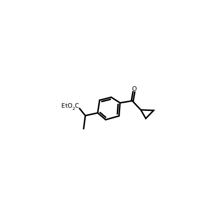 CCOC(=O)C(C)c1ccc(C(=O)C2CC2)cc1